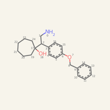 NCC(c1ccc(OCc2ccccc2)cc1)C1(O)CCCCCC1